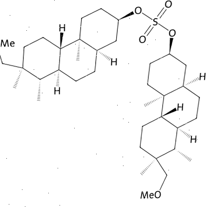 COC[C@@]1(C)CC[C@H]2[C@@H](CC[C@@H]3C[C@H](OS(=O)(=O)O[C@@H]4CC[C@@]5(C)[C@H](CC[C@H]6[C@H](C)[C@@](C)(COC)CC[C@@H]65)C4)CC[C@@]32C)[C@@H]1C